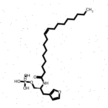 CCCCCCCC/C=C\CCCCCCCC(=O)N[C@H](CO[PH](O)(O)O)Cc1ccoc1